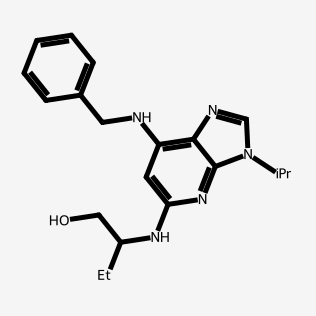 CCC(CO)Nc1cc(NCc2ccccc2)c2ncn(C(C)C)c2n1